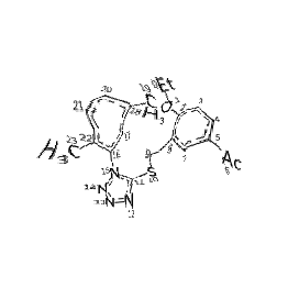 CCOc1ccc(C(C)=O)cc1CSc1nnnn1-c1cc(C)ccc1C